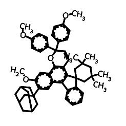 COc1ccc(C2(c3ccc(OC)cc3)C=Cc3c4c(c5cc(C67CC8CC(CC(C8)C6)C7)c(OC)cc5c3O2)-c2ccccc2C42CC(C)(C)CC(C)(C)C2)cc1